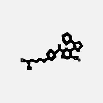 CCN(CC)CCCOc1ccc(Nc2ncc(C(F)(F)F)c(N3OCCC3c3ccccc3)n2)cc1